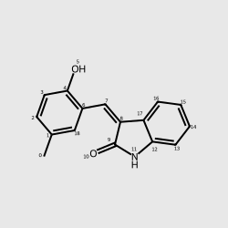 Cc1ccc(O)c(C=C2C(=O)Nc3ccccc32)c1